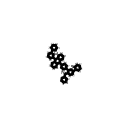 c1ccc(-c2nc3cc(-c4c5ccccc5c(-c5cccc6c5oc5ccccc56)c5ccccc45)ccc3c3c2ccc2c4ccccc4sc23)cc1